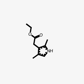 CCOC(=O)Cc1c(C)c[nH]c1C